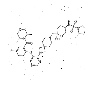 C[C@@H]1COC[C@@H](C)N1C(=O)c1cc(F)ccc1Oc1cncnc1N1CC2(CCN(C[C@@]3(O)CC[C@@H](NS(=O)(=O)N4CCC[C@@H]4C)CO3)CC2)C1